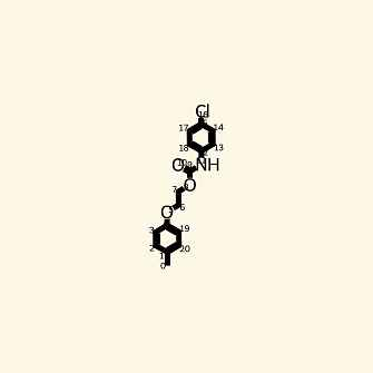 Cc1ccc(OCCOC(=O)Nc2ccc(Cl)cc2)cc1